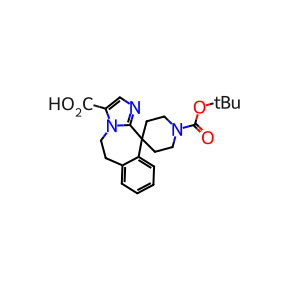 CC(C)(C)OC(=O)N1CCC2(CC1)c1ccccc1CCn1c(C(=O)O)cnc12